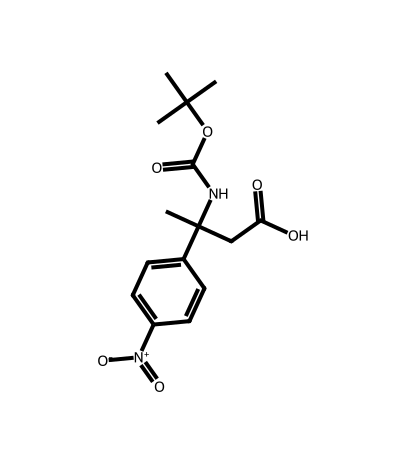 CC(C)(C)OC(=O)NC(C)(CC(=O)O)c1ccc([N+](=O)[O-])cc1